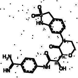 N=C(N)c1ccc(NC(=O)[C@H](O)[C@H]2OCCN(c3ccc4c(c3)NS(=O)(=O)C4)C2=O)cc1